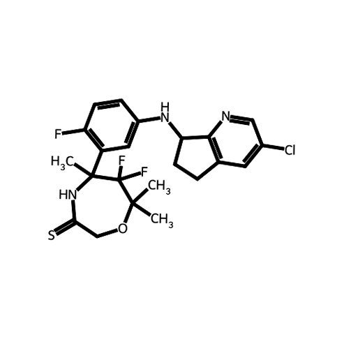 CC1(C)OCC(=S)NC(C)(c2cc(NC3CCc4cc(Cl)cnc43)ccc2F)C1(F)F